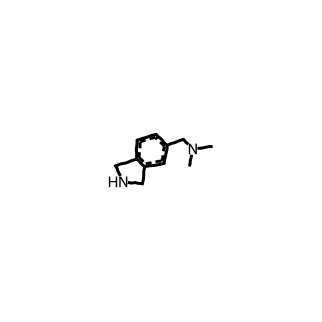 CN(C)Cc1ccc2c(c1)CNC2